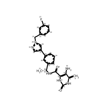 C=C1NC(=O)NC(C(=O)N[C@H](C)c2cccc(-c3cnn(Cc4cccc(F)c4)c3)c2)=C1N